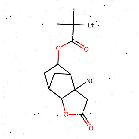 [C-]#[N+]C12CC(=O)OC1C1CC(OC(=O)C(C)(C)CC)C2C1